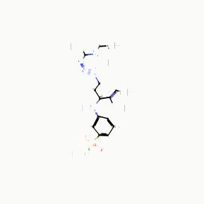 C/C=C(\C)C(CCN(C)/N=N\C(C)NCC)Nc1cccc(S(C)(=O)=O)c1